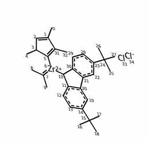 CC1=CC(C)[C]([Zr+2](=[C](C)C)[CH]2c3ccc(C(C)(C)C)cc3-c3cc(C(C)(C)C)ccc32)=C1C.[Cl-].[Cl-]